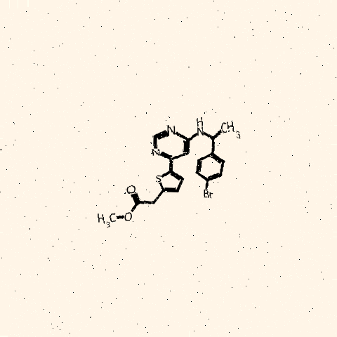 COC(=O)Cc1ccc(-c2cc(NC(C)c3ccc(Br)cc3)ncn2)s1